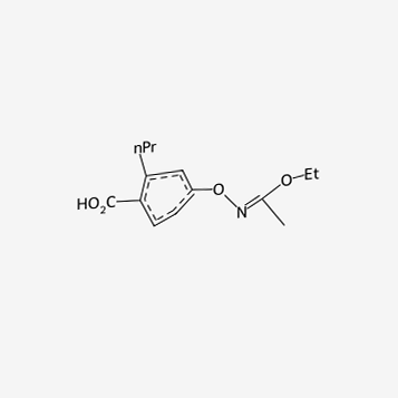 CCCc1cc(ON=C(C)OCC)ccc1C(=O)O